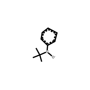 CC(C)(C)[S+]([O-])c1ccccc1